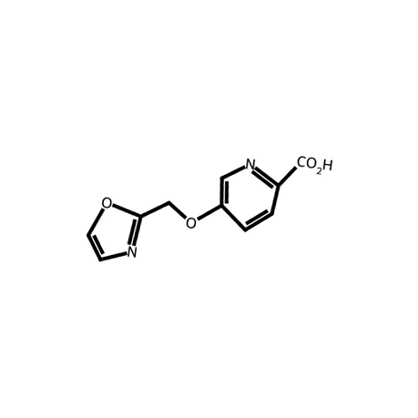 O=C(O)c1ccc(OCc2ncco2)cn1